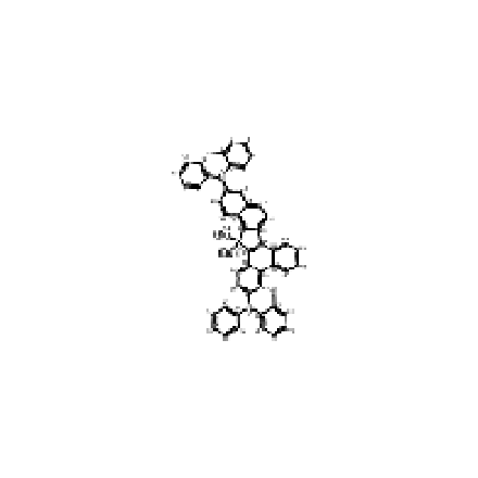 Cc1ccccc1N(c1ccccc1)c1ccc2c3c(ccc2c1)-c1c(c2ccc(N(c4ccccc4)c4ccccc4C)cc2c2ccccc12)C3(C(C)(C)C)C(C)(C)C